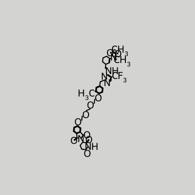 Cc1cc(Cc2ncc(C(F)(F)F)c(NCC3C=C(N(C)S(C)(=O)=O)CCC3)n2)ccc1OCCOCCOCCOc1ccc2c(c1)C(=O)N(C1CCC(=O)NC1=O)C2=O